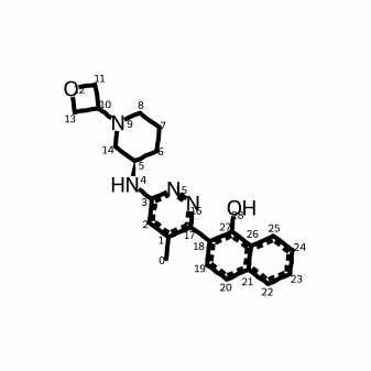 Cc1cc(N[C@@H]2CCCN(C3COC3)C2)nnc1-c1ccc2ccccc2c1O